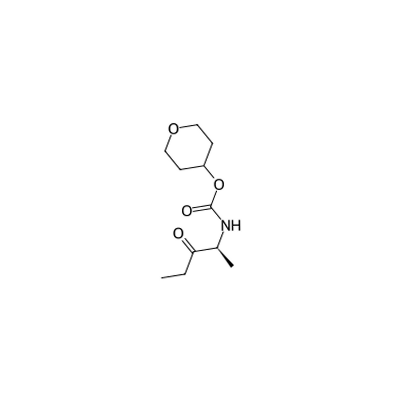 CCC(=O)[C@H](C)NC(=O)OC1CCOCC1